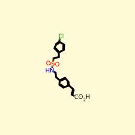 O=C(O)/C=C/c1ccc(CCNS(=O)(=O)CCc2ccc(Cl)cc2)cc1